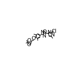 Cc1cc(-c2nc(-c3cc(C)c(OCC4COC(C)(C)O4)c(C)c3)no2)nc(Cl)n1